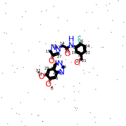 COc1cc2ncnc(Oc3cnn(CC(=O)Nc4cc(C=O)ccc4F)c3)c2cc1OC